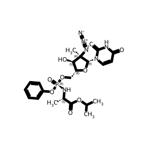 C=C1NC(=O)C=CN1[C@@H]1O[C@H](CO[P@](=O)(N[C@@H](C)C(=O)OC(C)C)Oc2ccccc2)[C@@H](O)[C@@]1(C)N=[N+]=[N-]